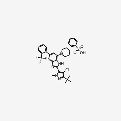 Cn1nc(C(C)(C)C)c(Cl)c1-c1nc2nc(-c3ccccc3C(F)(F)F)cc(N3CCCCC3)c2[nH]1.O=S(=O)(O)c1ccccc1